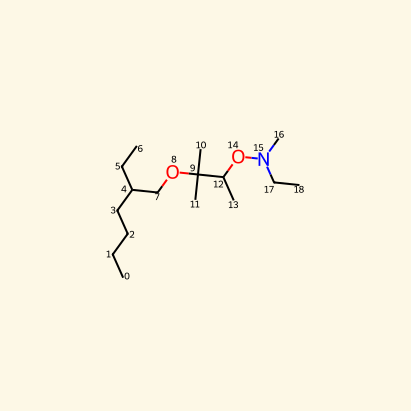 CCCCC(CC)COC(C)(C)C(C)ON(C)CC